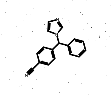 N#Cc1ccc(C(c2ccccc2)n2ccnc2)cc1